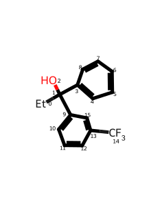 CCC(O)(c1ccccc1)c1cccc(C(F)(F)F)c1